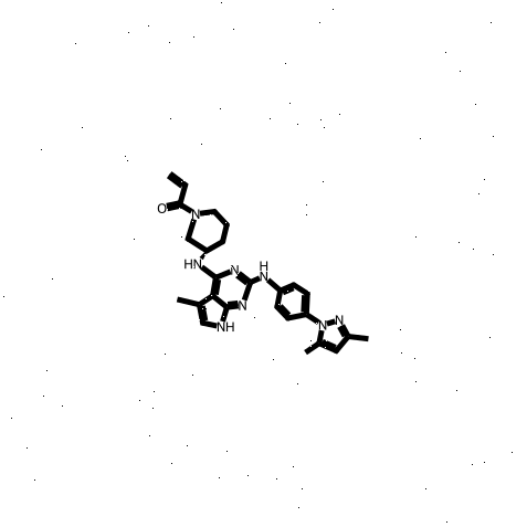 C=CC(=O)N1CCC[C@@H](Nc2nc(Nc3ccc(-n4nc(C)cc4C)cc3)nc3[nH]cc(C)c23)C1